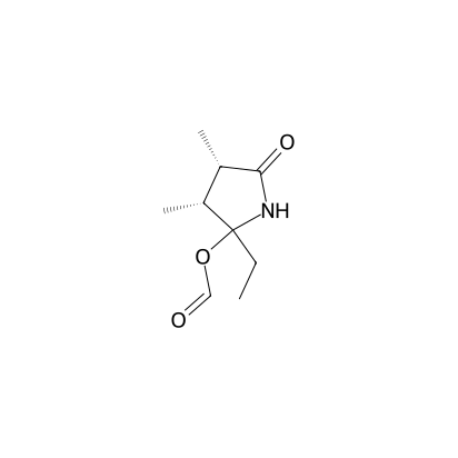 CCC1(OC=O)NC(=O)[C@@H](C)[C@H]1C